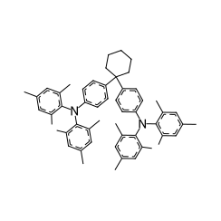 Cc1cc(C)c(N(c2ccc(C3(c4ccc(N(c5c(C)cc(C)cc5C)c5c(C)cc(C)cc5C)cc4)CCCCC3)cc2)c2c(C)cc(C)cc2C)c(C)c1